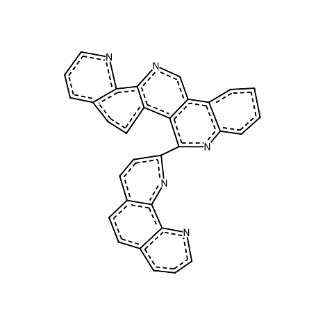 c1cnc2c(c1)ccc1ccc(-c3nc4ccccc4c4cnc5c(ccc6cccnc65)c34)nc12